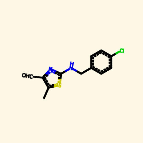 Cc1sc(NCc2ccc(Cl)cc2)nc1C=O